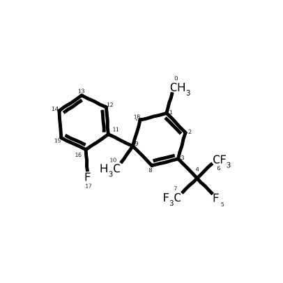 CC1=CC(C(F)(C(F)(F)F)C(F)(F)F)=CC(C)(c2ccccc2F)[CH]1